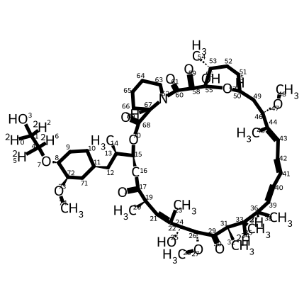 [2H]C([2H])(O)C([2H])([2H])O[C@@H]1CC[C@@H](C[C@@H](C)[C@@H]2CC(=O)[C@H](C)/C=C(\C)[C@@H](O)[C@@H](OC)C(=O)[C@H](C)C([2H])(C)[C@]([2H])(C)/C=C/C=C/C=C(\C)[C@@H](OC)C[C@@H]3CC[C@@H](C)[C@@](O)(O3)C(=O)C(=O)N3CCCC[C@H]3C(=O)O2)C[C@H]1OC